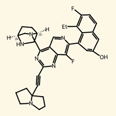 CCc1c(F)ccc2cc(O)cc(-c3ncc4c(N5C[C@@H]6CC[C@H]5CN6)nc(C#CC56CCCN5CCC6)nc4c3F)c12